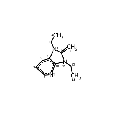 C=C1N(CC)c2cccnc2N1CC